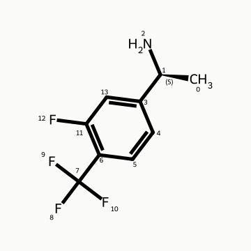 C[C@H](N)c1ccc(C(F)(F)F)c(F)c1